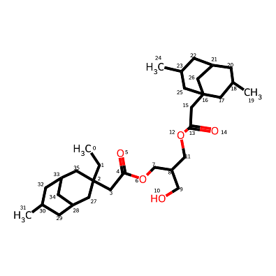 CCC1(CC(=O)OCC(CO)COC(=O)CC23CC(C)CC(CC(C)C2)C3)CC2CC(C)CC(C2)C1